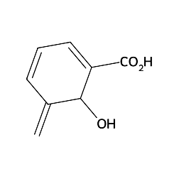 C=C1C=CC=C(C(=O)O)C1O